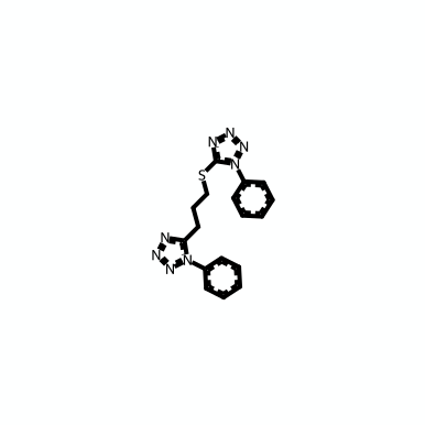 c1ccc(-n2nnnc2CCCSc2nnnn2-c2ccccc2)cc1